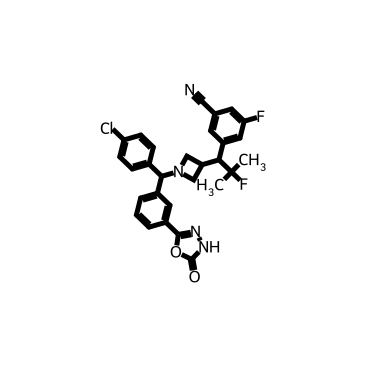 CC(C)(F)C(c1cc(F)cc(C#N)c1)C1CN(C(c2ccc(Cl)cc2)c2cccc(-c3n[nH]c(=O)o3)c2)C1